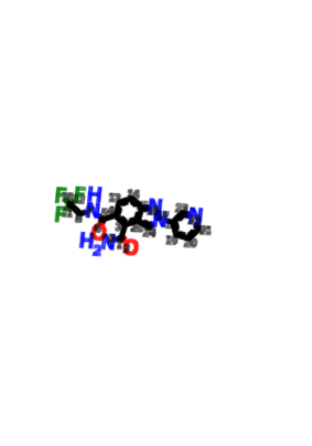 NC(=O)c1c(C(=O)NCC(F)(F)F)ccc2nn(-c3cccnc3)cc12